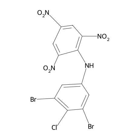 O=[N+]([O-])c1cc([N+](=O)[O-])c(Nc2cc(Br)c(Cl)c(Br)c2)c([N+](=O)[O-])c1